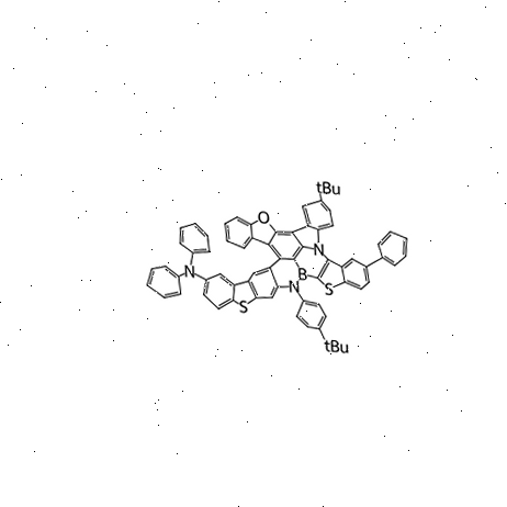 CC(C)(C)c1ccc(N2B3c4sc5ccc(-c6ccccc6)cc5c4-n4c5ccc(C(C)(C)C)cc5c5c6oc7ccccc7c6c(c3c54)-c3cc4c(cc32)sc2ccc(N(c3ccccc3)c3ccccc3)cc24)cc1